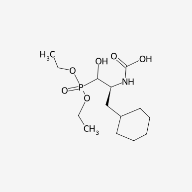 CCOP(=O)(OCC)C(O)[C@H](CC1CCCCC1)NC(=O)O